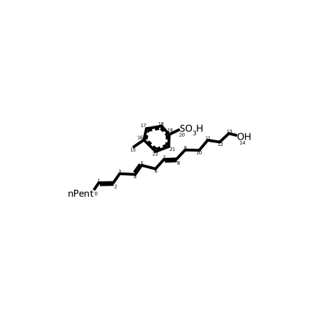 CCCCCC=CCC=CCC=CCCCCCO.Cc1ccc(S(=O)(=O)O)cc1